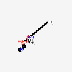 CCCCCCCCCCCCCCCCCCNC(=O)OCC(COP(O)Oc1cccc(C[n+]2ccccc2)c1)OC(C)C